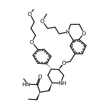 CC[C@H](C[C@H]1C[C@H](c2ccc(OCCCOC)cc2)[C@@H](OCc2ccc3c(c2)N(CCCOC)CCO3)CN1)C(=O)NC